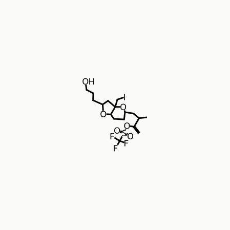 C=C(OS(=O)(=O)C(F)(F)F)C(C)CC1CCC2OC(CCCO)CC2(CI)O1